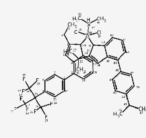 CCC1=Cc2c(-c3ccc(C(C(F)(F)F)(C(F)(F)F)C(F)(F)F)cc3)cccc2[CH]1[Zr]([Cl])([Cl])([CH]1C(C(C)C)=Cc2c(-c3ccc(C(C)C)cc3)cccc21)[SiH](C)C